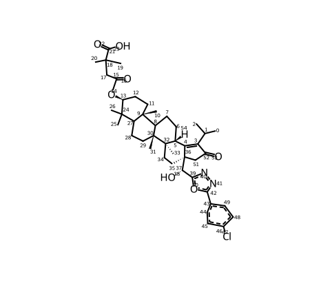 CC(C)C1=C2[C@H]3CCC4[C@@]5(C)CC[C@H](OC(=O)CC(C)(C)C(=O)O)C(C)(C)C5CC[C@@]4(C)[C@]3(C)CC[C@@]2([C@@H](O)c2nnc(-c3ccc(Cl)cc3)o2)CC1=O